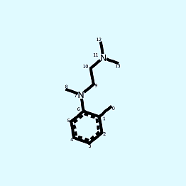 Cc1ccccc1N(C)CCN(C)C